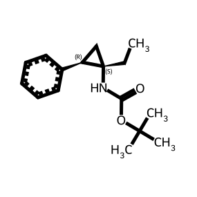 CC[C@]1(NC(=O)OC(C)(C)C)C[C@@H]1c1ccccc1